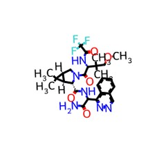 COCC(C)(C)[C@H](NC(=O)C(F)(F)F)C(=O)N1C[C@H]2[C@@H]([C@H]1C(=O)NC(C(N)=O)c1nncc3ccccc13)C2(C)C